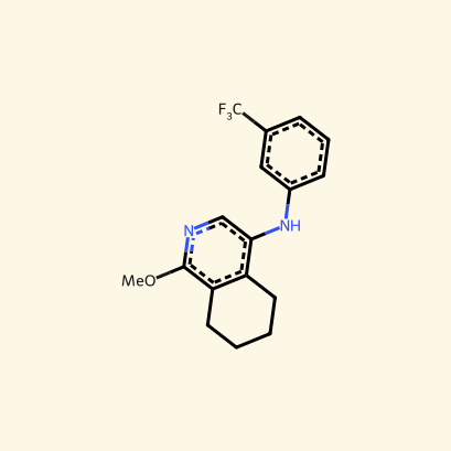 COc1ncc(Nc2cccc(C(F)(F)F)c2)c2c1CCCC2